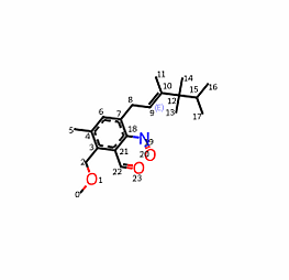 COCc1c(C)cc(C/C=C(\C)C(C)(C)C(C)C)c(N=O)c1C=O